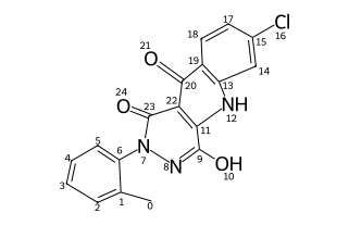 Cc1ccccc1-n1nc(O)c2[nH]c3cc(Cl)ccc3c(=O)c2c1=O